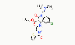 CCOC(=O)c1c(N2CCN(C(=O)c3cccs3)CC2)c2cc(Cl)ccc2n(CCN(C)C)c1=O